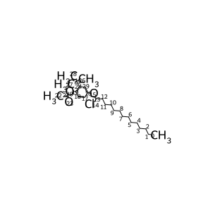 CCCCCCCCCCCCCC(Cl)Oc1ccc(OC(C)=O)c(C(C)(C)C)c1